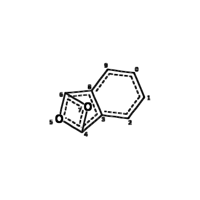 c1ccc2c3oc(o3)c2c1